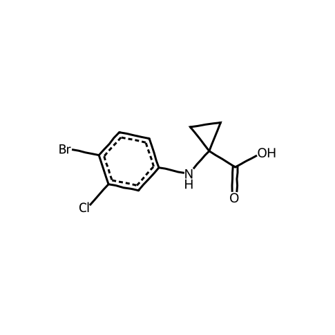 O=C(O)C1(Nc2ccc(Br)c(Cl)c2)CC1